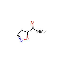 CNC(=O)C1CC=NO1